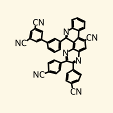 N#Cc1ccc(-c2nc3cc(C#N)c4c5ccccc5nc(-c5cccc(-c6cc(C#N)cc(C#N)c6)c5)c4c3nc2-c2ccc(C#N)cc2)cc1